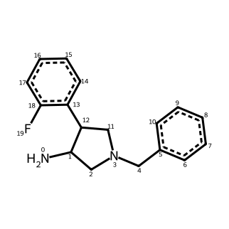 NC1CN(Cc2ccccc2)CC1c1ccccc1F